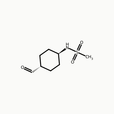 CS(=O)(=O)N[C@H]1CC[C@H](C=O)CC1